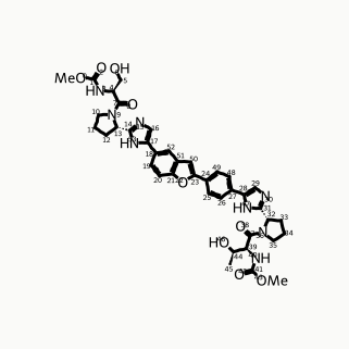 COC(=O)N[C@@H](CO)C(=O)N1CCC[C@H]1c1ncc(-c2ccc3oc(-c4ccc(-c5cnc([C@@H]6CCCN6C(=O)[C@@H](NC(=O)OC)[C@@H](C)O)[nH]5)cc4)cc3c2)[nH]1